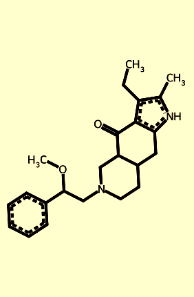 CCc1c(C)[nH]c2c1C(=O)C1CN(CC(OC)c3ccccc3)CCC1C2